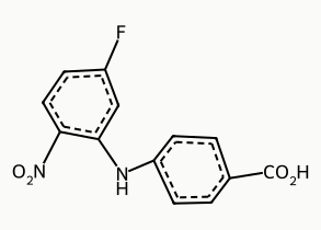 O=C(O)c1ccc(Nc2cc(F)ccc2[N+](=O)[O-])cc1